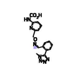 Cn1nnnc1-c1ccccc1/C=N\OCc1cccc(NC(=O)O)n1